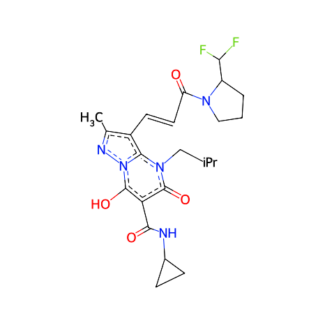 Cc1nn2c(O)c(C(=O)NC3CC3)c(=O)n(CC(C)C)c2c1C=CC(=O)N1CCCC1C(F)F